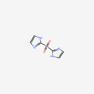 O=[Se](=O)(c1ncc[nH]1)c1ncc[nH]1